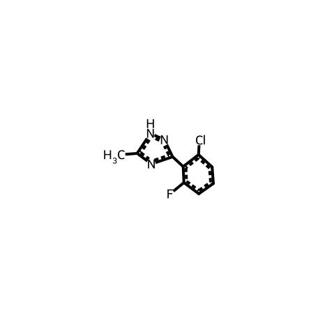 Cc1nc(-c2c(F)cccc2Cl)n[nH]1